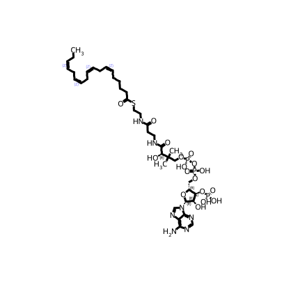 CC/C=C\C/C=C\C/C=C\C/C=C\CCCCC(=O)SCCNC(=O)CCNC(=O)[C@H](O)C(C)(C)COP(=O)(O)OP(=O)(O)OC[C@H]1O[C@@H](n2cnc3c(N)ncnc32)[C@H](O)[C@@H]1OP(=O)(O)O